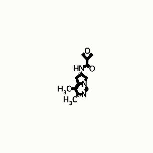 CC1=C2C[C@H](NC(=O)C3COC3)CN2C=N[C@H]1C